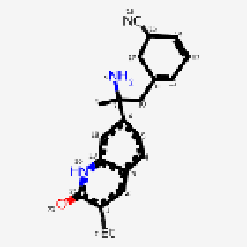 CCc1cc2ccc(C(C)(N)CC3=CC=CC(C#N)C3)cc2[nH]c1=O